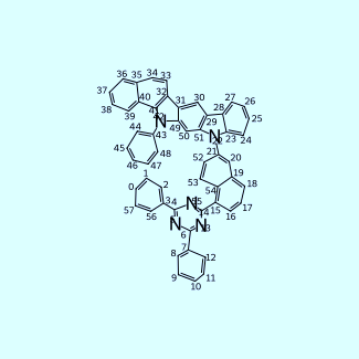 c1ccc(-c2nc(-c3ccccc3)nc(-c3cccc4cc(-n5c6ccccc6c6cc7c8ccc9ccccc9c8n(-c8ccccc8)c7cc65)ccc34)n2)cc1